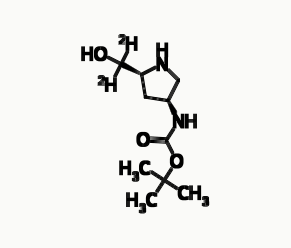 [2H]C([2H])(O)[C@@H]1C[C@H](NC(=O)OC(C)(C)C)CN1